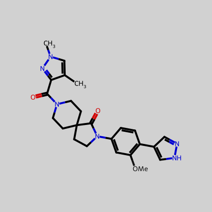 COc1cc(N2CCC3(CCN(C(=O)c4nn(C)cc4C)CC3)C2=O)ccc1-c1cn[nH]c1